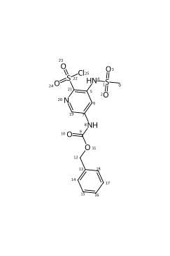 CS(=O)(=O)Nc1cc(NC(=O)OCc2ccccc2)cnc1S(=O)(=O)Cl